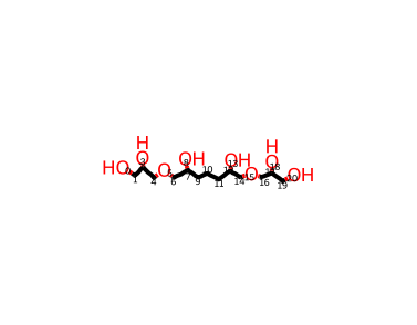 OCC(O)COCC(O)CCCC(O)COCC(O)CO